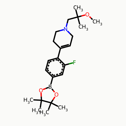 COC(C)(C)CN1CC=C(c2ccc(B3OC(C)(C)C(C)(C)O3)cc2F)CC1